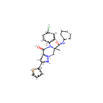 CC1(C(=O)NC2CCCCC2)Cn2nc(-c3cccs3)cc2C(=O)N1c1ccc(Cl)cc1